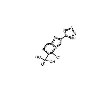 O=P(O)(O)c1ccc2nc(-c3nnn[nH]3)cn2c1Cl